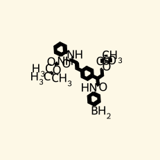 Bc1ccc(NC(=O)C(CCOS(C)(=O)=O)c2ccc(/C=C/C(=O)Nc3ccccc3NC(=O)OC(C)(C)C)cc2)cc1